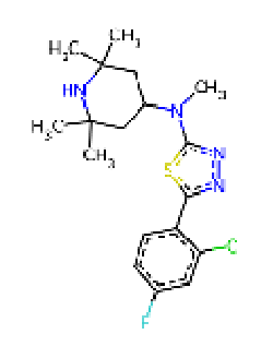 CN(c1nnc(-c2ccc(F)cc2Cl)s1)C1CC(C)(C)NC(C)(C)C1